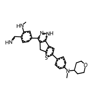 CNc1cc(-c2n[nH]c3c2Cc2sc(-c4ccc(N(C)C5CCOCC5)cc4)cc2-3)ccc1C=N